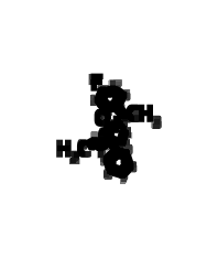 C=CC[C@]1(c2ccccc2)CCN([C@@H](C)c2ccc(F)cc2)C(=O)O1